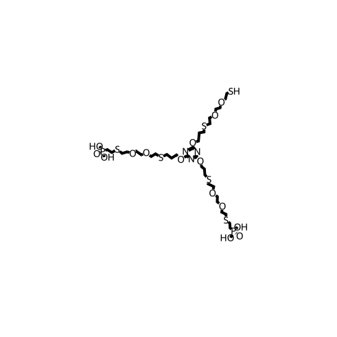 O=P(O)(O)CCSCCOCCOCCSCCCOc1nc(OCCCSCCOCCOCCS)nc(OCCCSCCOCCOCCSCCP(=O)(O)O)n1